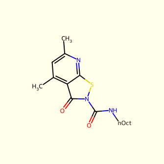 CCCCCCCCNC(=O)n1sc2nc(C)cc(C)c2c1=O